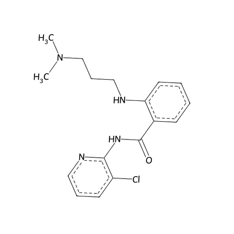 CN(C)CCCNc1ccccc1C(=O)Nc1ncccc1Cl